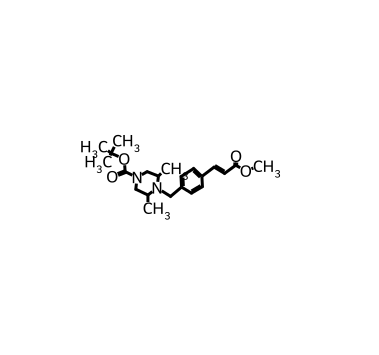 COC(=O)C=Cc1ccc(CN2C(C)CN(C(=O)OC(C)(C)C)CC2C)cc1